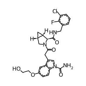 NC(=O)n1cc(CC(=O)N2C[C@@H]3C[C@@H]3[C@H]2C(=O)NCc2cccc(Cl)c2F)c2cc(OCCO)ccc21